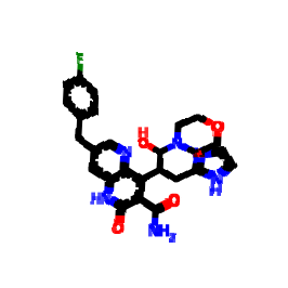 NC(=O)c1c(C(Cc2ncc[nH]2)C(O)N2CCOCC2)c2ncc(Cc3ccc(F)cc3)cc2[nH]c1=O